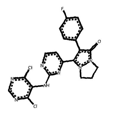 O=c1c(-c2ccc(F)cc2)c(-c2ccnc(Nc3c(Cl)ncnc3Cl)n2)n2n1CCC2